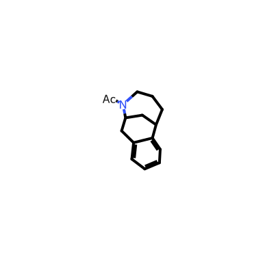 CC(=O)N1CCCC2CC1Cc1ccccc12